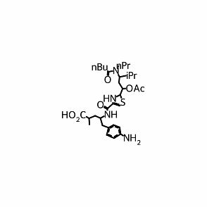 CCCCC(=O)N(CCC)C(CC(OC(C)=O)C1NC(C(=O)NC(Cc2ccc(N)cc2)CC(C)C(=O)O)=CS1)C(C)C